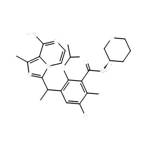 Cc1nc(C(C)c2cc(Cl)c(F)c(C(=O)N[C@@H]3CCCOC3)c2OC(C)C)n2ccnc(N)c12